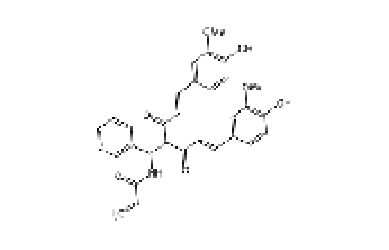 C=CC(=O)NC(c1ccccc1)C(C(=O)/C=C/c1ccc(O)c(OC)c1)C(=O)/C=C/c1ccc(O)c(OC)c1